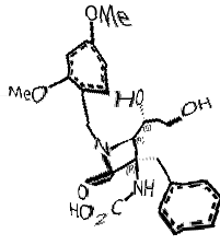 COc1ccc(CN2C(=O)[C@](Cc3ccccc3)(NC(=O)O)[C@@H]2[C@H](O)CO)c(OC)c1